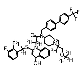 [2H]C([2H])([2H])OCC([2H])([2H])N1CCC(N(Cc2ccc(-c3ccc(C(F)(F)F)cc3)cc2)C(=O)C([2H])([2H])N2C(SC([2H])([2H])c3cccc(F)c3F)=CC(O)c3ccccc32)CC1